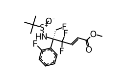 COC(=O)/C=C/C(F)(F)[C@](CF)(N[S+]([O-])C(C)(C)C)c1ccccc1F